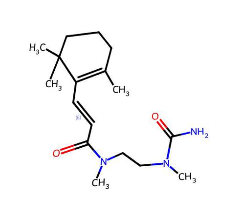 CC1=C(/C=C/C(=O)N(C)CCN(C)C(N)=O)C(C)(C)CCC1